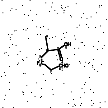 CC(C)C(=O)O.O=CCC(F)(F)F